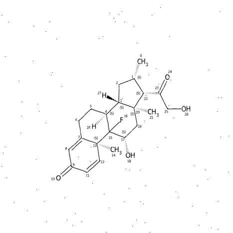 C[C@H]1C[C@H]2[C@@H]3CCC4=CC(=O)C=C[C@]4(C)C3(F)[C@@H](O)C[C@]2(C)[C@H]1C(=O)CO